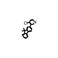 CC1(C)c2ccccc2-c2ccc(-c3cnccc3Cl)cc21